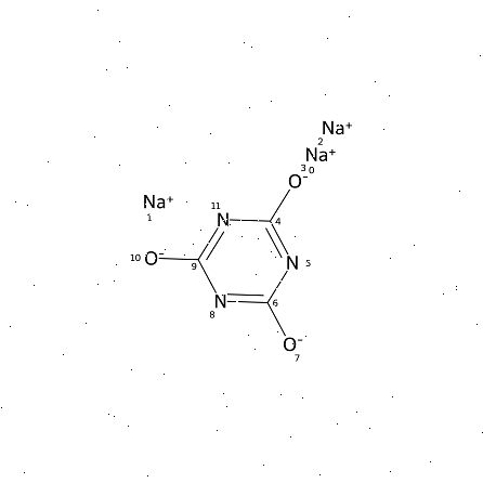 [Na+].[Na+].[Na+].[O-]c1nc([O-])nc([O-])n1